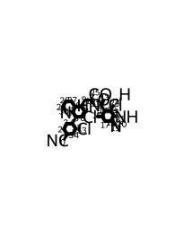 N#Cc1ccc(-c2ccc(C[C@H](NC(=O)c3c(Cl)cc4nc[nH]c4c3Cl)C(=O)O)c3cccnc23)c(Cl)c1